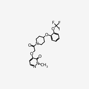 Cn1nccc(OCC(=O)N2CCC(Oc3ccccc3OC(F)(F)I)CC2)c1=O